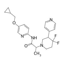 CC(C(=O)Nc1ccc(OCC2CC2)cn1)N1CCC(F)(F)C(c2ccncc2)C1